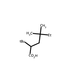 CCC(C)(C)CC(C(=O)O)C(C)(C)C